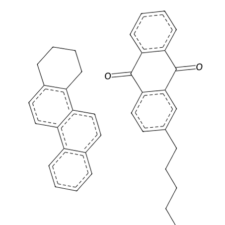 CCCCCc1ccc2c(c1)C(=O)c1ccccc1C2=O.c1ccc2c(c1)ccc1c3c(ccc12)CCCC3